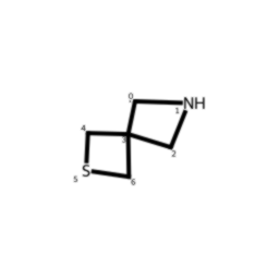 [CH]1NCC12CSC2